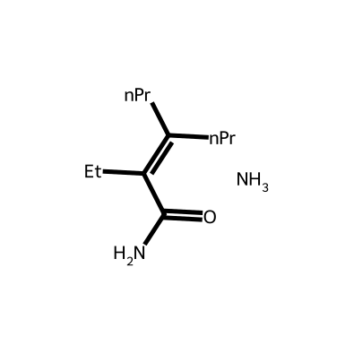 CCCC(CCC)=C(CC)C(N)=O.N